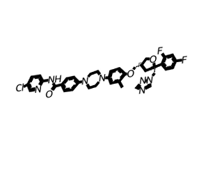 Cc1cc(N2CCN(c3ccc(C(=O)Nc4ccc(Cl)cn4)cc3)CC2)ccc1OC[C@@H]1CO[C@@](Cn2cncn2)(c2ccc(F)cc2F)C1